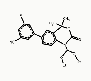 CCOC(OCC)N1C(=O)OC(C)(C)c2cc(-c3cc(F)cc(C#N)c3)ccc21